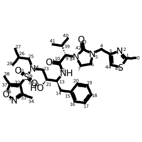 Cc1nc(CN2CCN([C@H](C(=O)N[C@@H](Cc3ccccc3)[C@H](O)CN(CC(C)C)S(=O)(=O)c3c(C)noc3C)C(C)C)C2=O)cs1